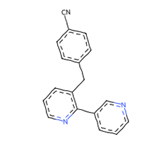 N#Cc1ccc(Cc2cccnc2-c2cccnc2)cc1